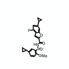 COc1ccc(C2CC2)cc1[S+]([O-])NC(=O)c1cc2c(F)cc(C3CC3)cc2o1